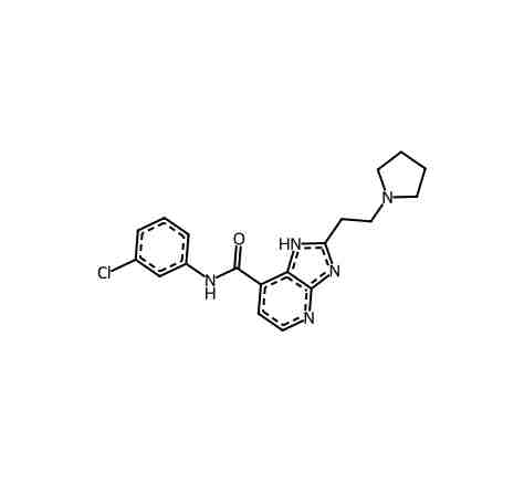 O=C(Nc1cccc(Cl)c1)c1ccnc2nc(CCN3CCCC3)[nH]c12